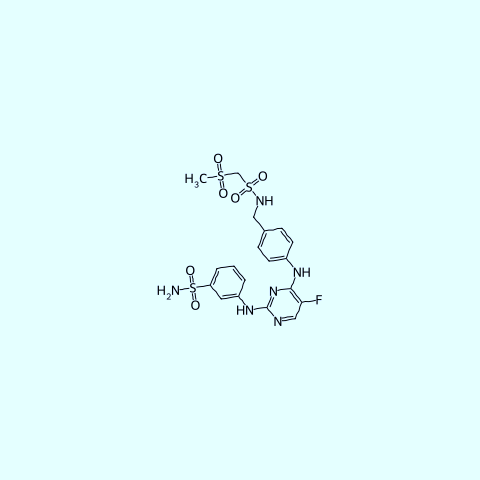 CS(=O)(=O)CS(=O)(=O)NCc1ccc(Nc2nc(Nc3cccc(S(N)(=O)=O)c3)ncc2F)cc1